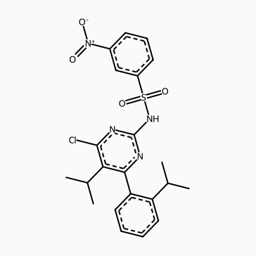 CC(C)c1ccccc1-c1nc(NS(=O)(=O)c2cccc([N+](=O)[O-])c2)nc(Cl)c1C(C)C